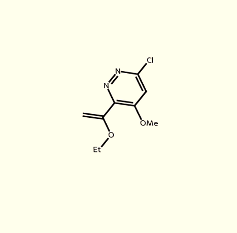 C=C(OCC)c1nnc(Cl)cc1OC